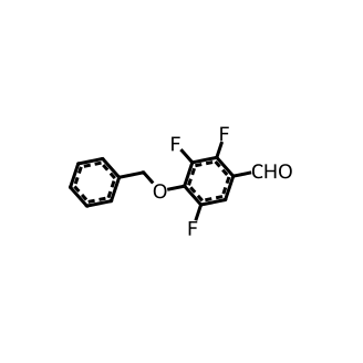 O=Cc1cc(F)c(OCc2ccccc2)c(F)c1F